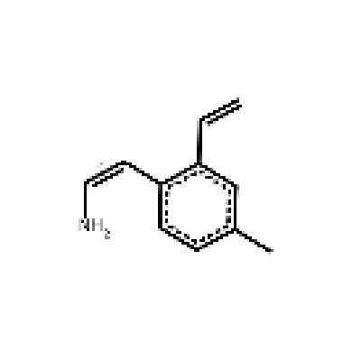 C=Cc1cc(C)ccc1/C=C\N